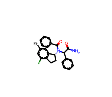 CCc1cc(F)c2c(c1)[C@H](N(C(=O)c1ccccc1)C(C(N)=O)c1ccccc1)CC2